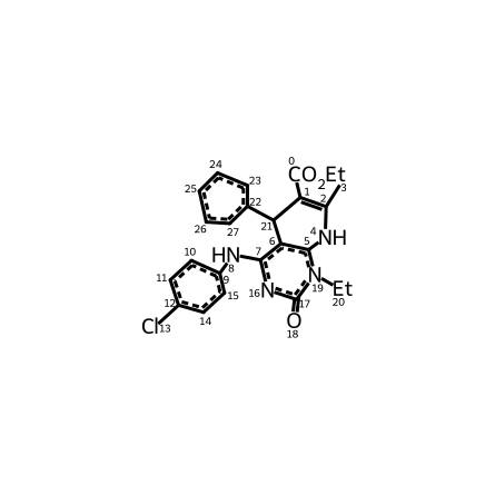 CCOC(=O)C1=C(C)Nc2c(c(Nc3ccc(Cl)cc3)nc(=O)n2CC)C1c1ccccc1